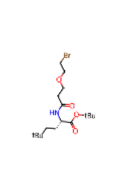 CC(C)(C)CC[C@H](NC(=O)CCOCCBr)C(=O)OC(C)(C)C